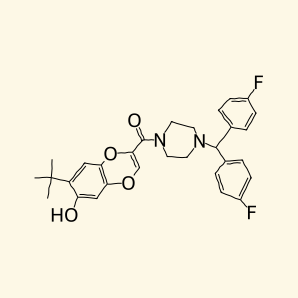 CC(C)(C)c1cc2c(cc1O)OC=C(C(=O)N1CCN(C(c3ccc(F)cc3)c3ccc(F)cc3)CC1)O2